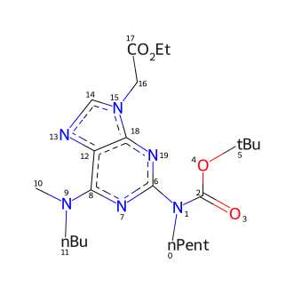 CCCCCN(C(=O)OC(C)(C)C)c1nc(N(C)CCCC)c2ncn(CC(=O)OCC)c2n1